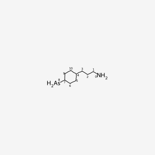 NCCCC1CCC([AsH2])CC1